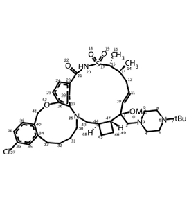 CO[C@]1(CN2CCN(C(C)(C)C)CC2)/C=C/C[C@H](C)[C@@H](C)S(=O)(=O)NC(=O)c2ccc3c(c2)N(CCCCc2cc(Cl)ccc2CO3)C[C@@H]2CC[C@H]21